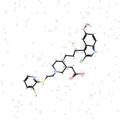 COc1ccc2ncc(Cl)c([C@@H](F)CC[C@@H]3CCN(CCSc4ncccc4F)C[C@@H]3CC(=O)O)c2c1